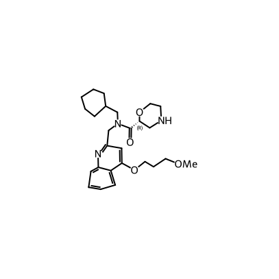 COCCCOc1cc(CN(CC2CCCCC2)C(=O)[C@H]2CNCCO2)nc2ccccc12